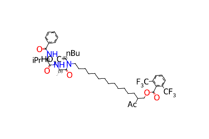 CCCC[C@@H](C(=O)O)N(CCCCCCCCCCCCCC(COC(=O)c1c(C(F)(F)F)cccc1C(F)(F)F)C(C)=O)C(=O)[C@H](C)NC(=O)[C@@H](NC(=O)c1ccccc1)C(C)C